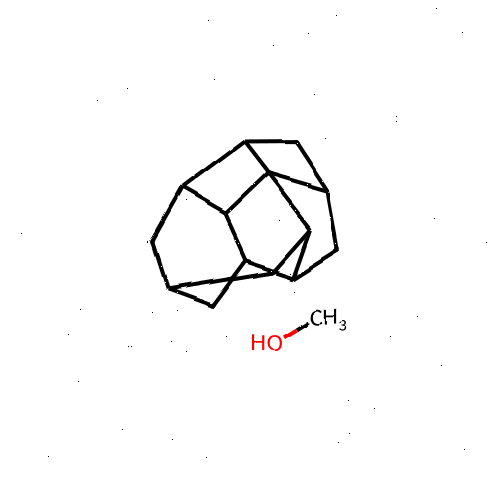 C1C2CC3C4CC5CC(C14)C(C2)C3C5.CO